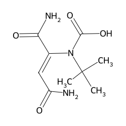 CC(C)(C)N(C(=O)O)/C(=C\C(N)=O)C(N)=O